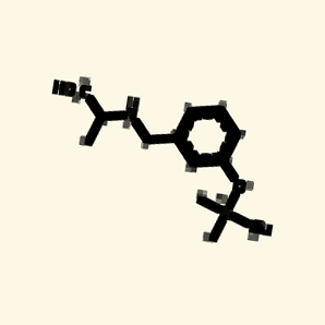 CC(NCc1cccc(O[Si](C)(C)C(C)(C)C)c1)C(=O)O